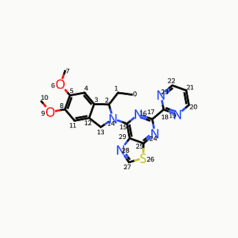 CCC1c2cc(OC)c(OC)cc2CN1c1nc(-c2ncccn2)nc2scnc12